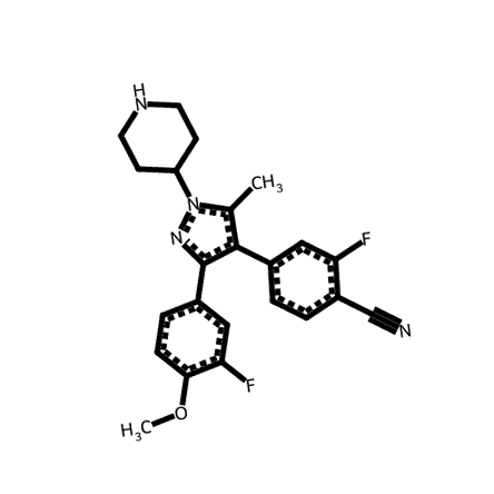 COc1ccc(-c2nn(C3CCNCC3)c(C)c2-c2ccc(C#N)c(F)c2)cc1F